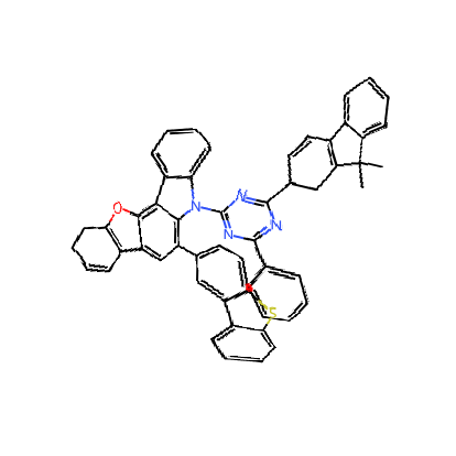 CC1(C)C2=C(C=CC(c3nc(-c4ccccc4)nc(-n4c5ccccc5c5c6oc7c(c6cc(-c6ccc8sc9ccccc9c8c6)c54)C=CCC7)n3)C2)c2ccccc21